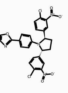 O=[N+]([O-])c1cc([C@H]2CC[C@H](c3ccc(Cl)c([N+](=O)[O-])c3)N2c2ccc(-c3ncco3)cc2)ccc1Cl